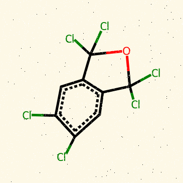 Clc1cc2c(cc1Cl)C(Cl)(Cl)OC2(Cl)Cl